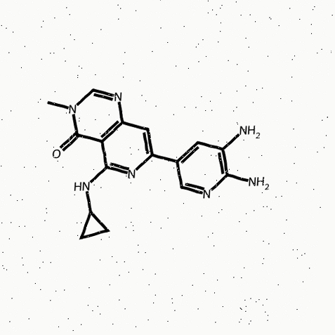 Cn1cnc2cc(-c3cnc(N)c(N)c3)nc(NC3CC3)c2c1=O